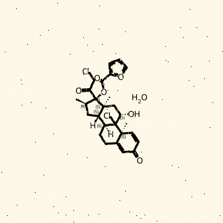 C[C@@H]1C[C@H]2[C@@H]3CCC4=CC(=O)C=C[C@]4(C)C3(Cl)[C@@H](O)C[C@]2(C)[C@@]1(OC(=O)c1ccco1)C(=O)CCl.O